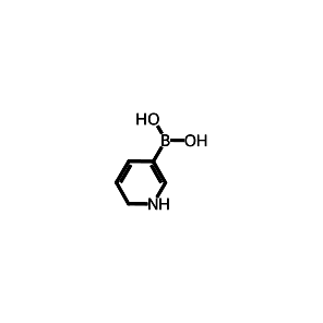 OB(O)C1=CNCC=C1